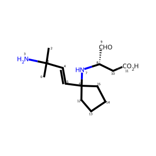 CC(C)(N)C=CC1(N[C@H](C=O)CC(=O)O)CCCC1